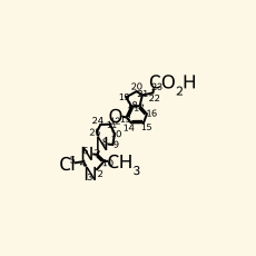 Cc1cnc(Cl)nc1N1CCC(Oc2cccc3c2CCC3CC(=O)O)CC1